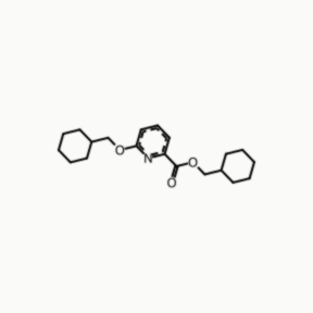 O=C(OCC1CCCCC1)c1cccc(OCC2CCCCC2)n1